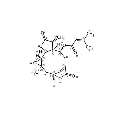 C=C1C(=O)O[C@H]2[C@H]1[C@@H](OC(=O)C=C(C)C)CC1=C[C@@H](C[C@@]3(C)O[C@H]23)OC1=O